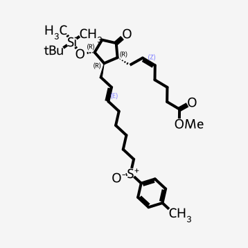 COC(=O)CCC/C=C\C[C@H]1C(=O)C[C@@H](O[Si](C)(C)C(C)(C)C)[C@@H]1C/C=C/CCCCC[S+]([O-])c1ccc(C)cc1